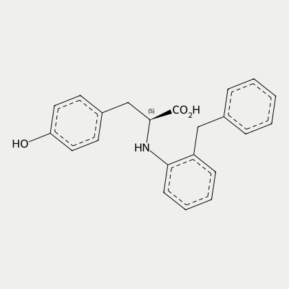 O=C(O)[C@H](Cc1ccc(O)cc1)Nc1ccccc1Cc1ccccc1